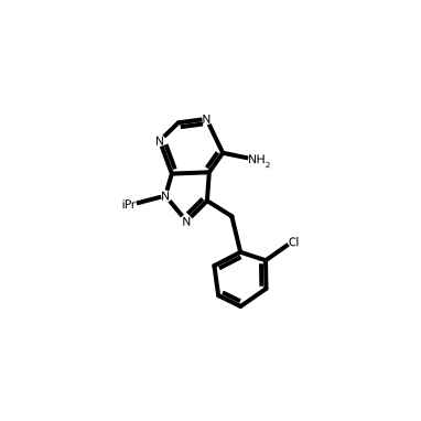 CC(C)n1nc(Cc2ccccc2Cl)c2c(N)ncnc21